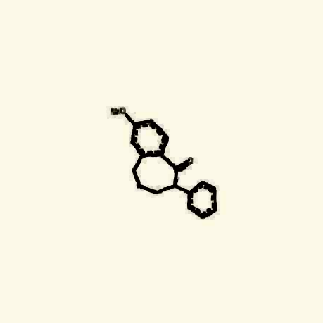 COc1ccc2c(c1)CCCC(c1ccccc1)C2=O